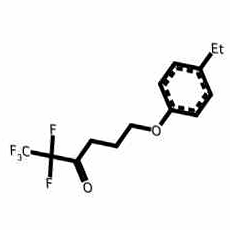 CCc1ccc(OCCCC(=O)C(F)(F)C(F)(F)F)cc1